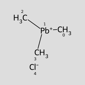 [CH3][Pb+]([CH3])[CH3].[Cl-]